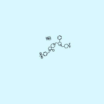 CS(=O)(=O)c1ccc(CN2CCC3(CCN(CC4CN(CC5CCC(F)(F)CC5)CC4c4ccccc4)CC3)C2=O)cc1.Cl.Cl